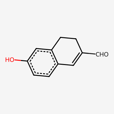 O=CC1=Cc2ccc(O)cc2CC1